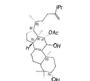 C=C(CC[C@@H](C)[C@H]1CC[C@H]2C3=C(C(O)[C@@H](OC(C)=O)[C@]12C)[C@@]1(C)CC[C@H](O)C(C)(C)C1CC3)C(C)C